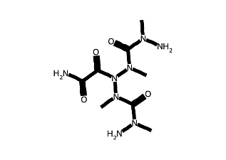 CN(N)C(=O)N(C)N(C(=O)C(N)=O)N(C)C(=O)N(C)N